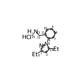 CCc1cc(CC)n(-c2ccccc2CN)n1.Cl